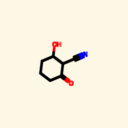 N#CC1C(=O)CCCC1O